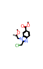 COC(=O)c1ccc2nc(CCl)n(C[C@@H](C)OC)c2c1